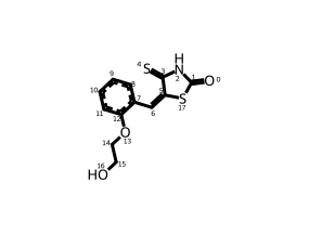 O=C1NC(=S)/C(=C\c2ccccc2OCCO)S1